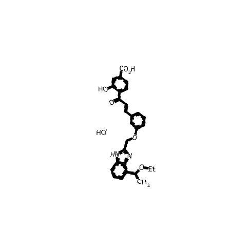 CCOC(C)c1cccc2[nH]c(COc3cccc(C=CC(=O)c4ccc(C(=O)O)cc4O)c3)nc12.Cl